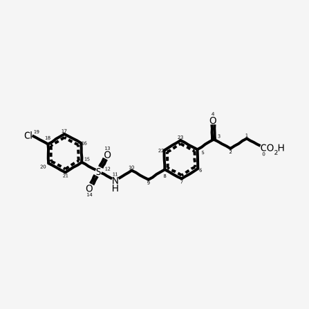 O=C(O)CCC(=O)c1ccc(CCNS(=O)(=O)c2ccc(Cl)cc2)cc1